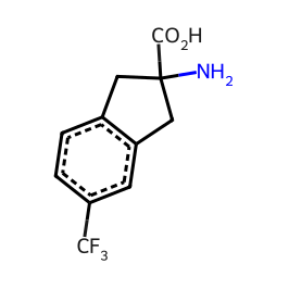 NC1(C(=O)O)Cc2ccc(C(F)(F)F)cc2C1